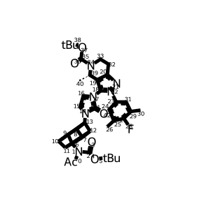 CC(=O)N(C(=O)OC(C)(C)C)C12C3C4C1C1C2C3C41n1ccn(-c2c3c(nn2-c2cc(C)c(F)c(C)c2)CCN(C(=O)OC(C)(C)C)[C@H]3C)c1=O